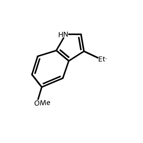 C[CH]c1c[nH]c2ccc(OC)cc12